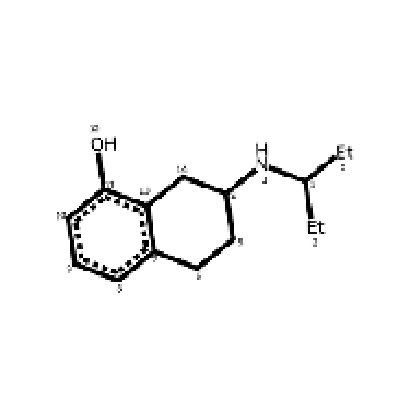 CCC(CC)NC1CCc2cccc(O)c2C1